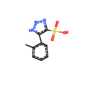 Cc1ccccc1-c1[nH]nnc1S(=O)(=O)O